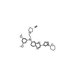 C#C[C@H]1CCN(CCN(c2cc(OC)cc(OC)c2)c2ccc3ncc(-c4cnn(C5CCCCO5)c4)nc3c2)C1